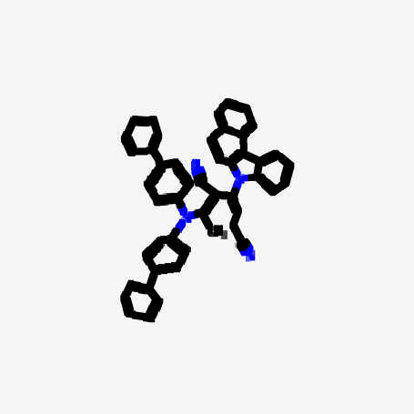 C/C(=C(C#N)\C(=C/CC#N)n1c2ccccc2c2c3ccccc3ccc21)N(c1ccc(-c2ccccc2)cc1)c1ccc(-c2ccccc2)cc1